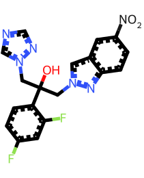 O=[N+]([O-])c1ccc2nn(CC(O)(Cn3cncn3)c3ccc(F)cc3F)cc2c1